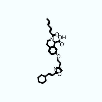 CC=CC=CC(=O)N1CCc2ccc(OCCc3coc(C=CC4CCCCC4)n3)cc2C1C(=O)O